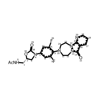 CC(=O)NC[C@H]1CN(c2cc(F)c(N3CCn4c(=O)c5cccnc5n4CC3)c(F)c2)C(=O)O1